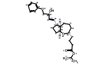 CC(C)OC(=O)CCC[C@H]1CCC[C@H]2[C@H](CC[C@@H]2/C=C/[C@@H](O)COc2ccccc2)O1